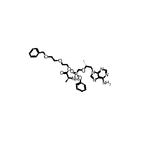 C[C@H](Cn1cnc2c(N)ncnc21)OCP(=O)(N[C@@H](C)C(=O)OCCOCCOCc1ccccc1)Oc1ccccc1